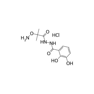 CC(C)(ON)C(=O)NNC(=O)c1cccc(O)c1O.Cl